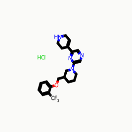 Cl.FC(F)(F)c1ccccc1OCC1CCCN(c2cncc(C3=CCNCC3)n2)C1